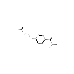 CC(=O)N[CH]Oc1ccc(C(=O)C(C)Cl)cc1